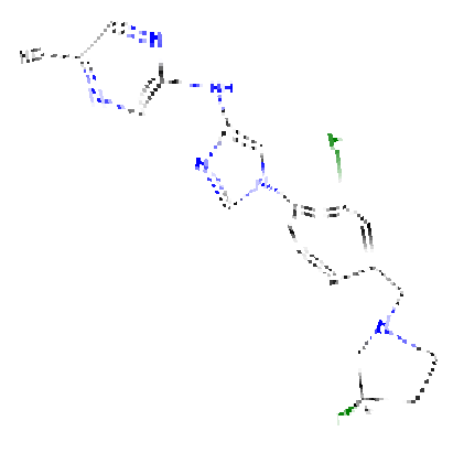 N#Cc1cnc(Nc2cn(-c3ccc(CN4CC[C@@H](F)C4)cc3F)cn2)cn1